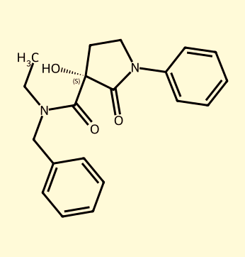 CCN(Cc1ccccc1)C(=O)[C@@]1(O)CCN(c2ccccc2)C1=O